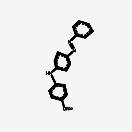 COc1ccc(Nc2ccc(/N=N/c3ccccc3)cc2)cc1